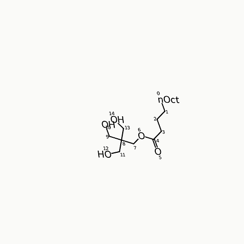 CCCCCCCCCCCC(=O)OCC(CO)(CO)CO